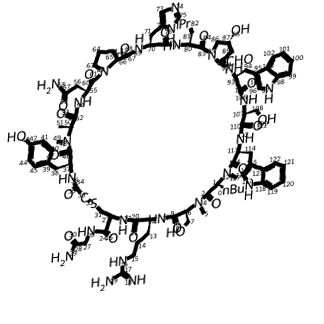 CCCC[C@H]1C(=O)N(C)[C@@H](CO)C(=O)N[C@@H](CCCNC(=N)N)C(=O)NC(C(=O)NCC(N)=O)CSCC(=O)N[C@@H](Cc2ccc(O)cc2)C(=O)N(C)[C@@H](C)C(=O)N[C@@H](CC(N)=O)C(=O)N2CCC[C@H]2C(=O)N[C@@H](Cc2cnc[nH]2)C(=O)N[C@@H](CC(C)C)C(=O)N2C[C@H](O)CC2(C=O)N[C@@H](Cc2c[nH]c3ccccc23)C(=O)N[C@@H](CO)C(=O)N[C@@H](Cc2c[nH]c3ccccc23)C(=O)N1C